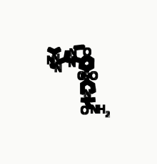 CC(C)n1ncnc1-c1cn2c(n1)-c1cc(S(=O)(=O)C3CCN(C(C)(C)C(N)=O)CC3)ccc1OCC2